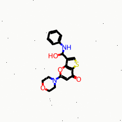 O=c1cc(N2CCOCC2)oc2c(C(O)Nc3ccccc3)csc12